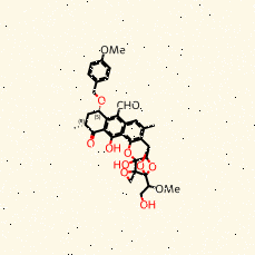 COc1ccc(CO[C@H]2C[C@@H](C)C(=O)c3c2c(C=O)c2cc(C)c4c(c2c3O)OC2(O)C3OC(C(CO)OC)(OC43)C23CO3)cc1